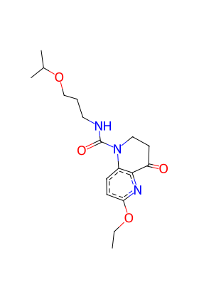 CCOc1ccc2c(n1)C(=O)CCN2C(=O)NCCCOC(C)C